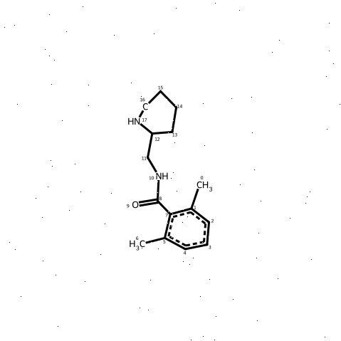 Cc1cccc(C)c1C(=O)NCC1CCCCN1